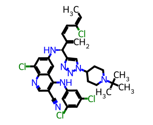 C=C(/C=C\C(Cl)=C/C)[C@H](Nc1cc(Cl)c2ncc(C#N)c(Nc3cc(Cl)cc(Cl)c3)c2c1)c1cn(C2CCN(C(C)(C)C)CC2)nn1